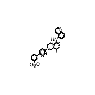 CC(C)C1CN(c2ccc(-c3cccc(S(C)(=O)=O)c3)nn2)CCN1C(=S)Nc1cccc2ncccc12